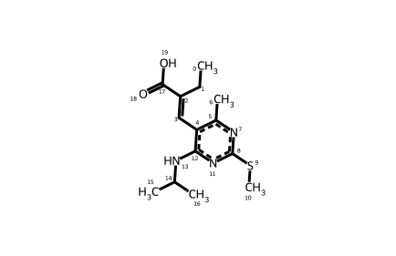 CCC(=Cc1c(C)nc(SC)nc1NC(C)C)C(=O)O